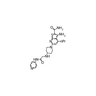 CCCc1cc(N2CCC(NCC(=O)Nc3ccncc3)CC2)nc2sc(C(N)=O)c(N)c12